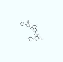 Cc1nc(-c2cc3nccc(Oc4cc(-c5ccccc5)[nH]n4)c3s2)sc1C(=O)N1CCOCC1